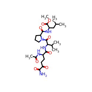 COC(=O)C(CC(C)C)NC(=O)C1CCCN1C(=O)C(NC(=O)C(CCC(=O)C(N)=O)NC(C)=O)C(C)C